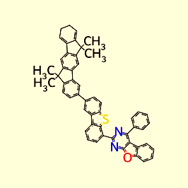 CC1(C)C2=CCCC=C2c2cc3c(cc21)-c1cc(-c2ccc4sc5c(-c6nc(-c7ccccc7)c7c(n6)oc6ccccc67)cccc5c4c2)ccc1C3(C)C